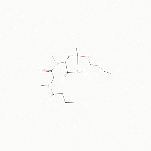 CCCC(=O)N(C)CC(=O)N(C)[C@@H](CC(C)(C)OCOCC)C(N)=O